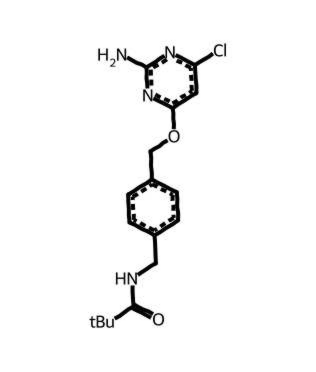 CC(C)(C)C(=O)NCc1ccc(COc2cc(Cl)nc(N)n2)cc1